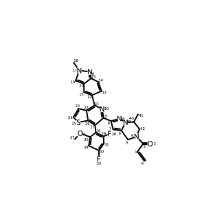 C=CC(=O)N1Cc2cc(-c3nc(-c4ccc5nn(C)cc5c4)c4ccsc4c3-c3c(F)cc(F)cc3OC)nn2C(C)C1